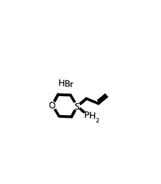 Br.C=CCS1(P)CCOCC1